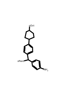 CCCCCCCCC1CCC(c2ccc(C(CCCCC)c3ccc(N)cc3)cc2)CC1